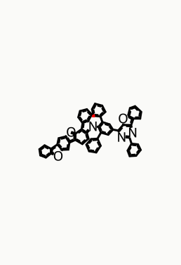 c1ccc(-c2nc(-c3cc(-c4ccccc4)c(-n4c5ccccc5c5c6oc7cc8c(cc7c6ccc54)oc4ccccc48)c(-c4ccccc4)c3)c3oc4ccccc4c3n2)cc1